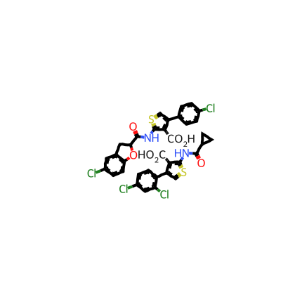 O=C(O)c1c(-c2ccc(Cl)cc2)csc1NC(=O)C1Cc2cc(Cl)ccc2O1.O=C(O)c1c(-c2ccc(Cl)cc2Cl)csc1NC(=O)C1CC1